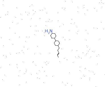 C/C=C/CCC1CCC(C2CCC(N)CC2)CC1